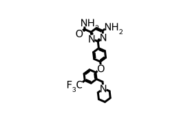 NC(=O)c1cc(N)nc(-c2ccc(Oc3ccc(C(F)(F)F)cc3CN3CCCCC3)cc2)n1